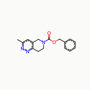 Cc1cc2c(nn1)CCN(C(=O)OCc1ccccc1)C2